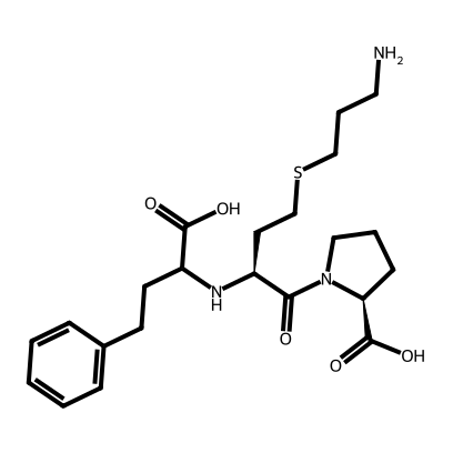 NCCCSCC[C@H](NC(CCc1ccccc1)C(=O)O)C(=O)N1CCC[C@H]1C(=O)O